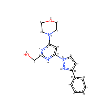 OCc1nc(N2CCOCC2)cc(-n2ccc(-c3ccccc3)n2)n1